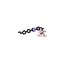 CCCC1CCC(C2CC=C(c3cnc(-c4ccc(CC(C)C(=O)N[C@@H](CO)C(=O)O)cc4)nc3)CC2)CC1